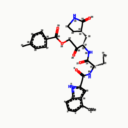 COc1cccc2[nH]c(C(=O)N[C@@H](CC(C)C)C(=O)N[C@@H](C[C@@H]3CCNC3=O)C(=O)COC(=O)c3ccc(C)cc3)cc12